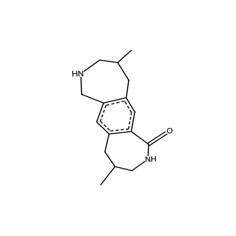 CC1CNCc2cc3c(cc2C1)C(=O)NCC(C)C3